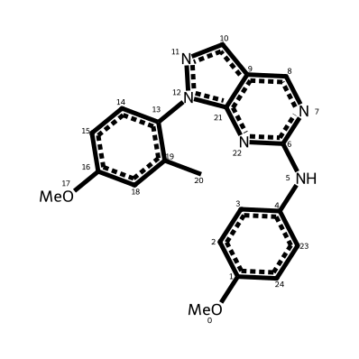 COc1ccc(Nc2ncc3cnn(-c4ccc(OC)cc4C)c3n2)cc1